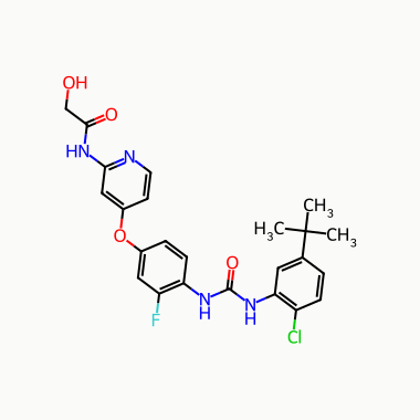 CC(C)(C)c1ccc(Cl)c(NC(=O)Nc2ccc(Oc3ccnc(NC(=O)CO)c3)cc2F)c1